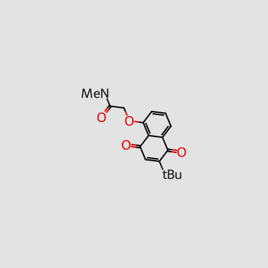 CNC(=O)COc1cccc2c1C(=O)C=C(C(C)(C)C)C2=O